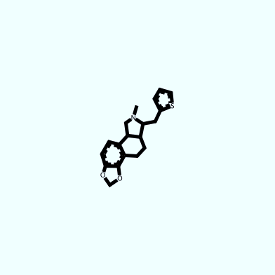 CN1CC2c3ccc4c(c3CCC2C1Cc1cccs1)OCO4